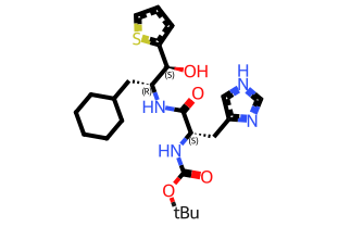 CC(C)(C)OC(=O)N[C@@H](Cc1c[nH]cn1)C(=O)N[C@H](CC1CCCCC1)[C@H](O)c1cccs1